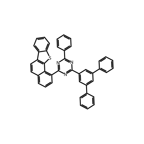 c1ccc(-c2cc(-c3ccccc3)cc(-c3nc(-c4ccccc4)nc(-c4cccc5ccc6c7ccccc7sc6c45)n3)c2)cc1